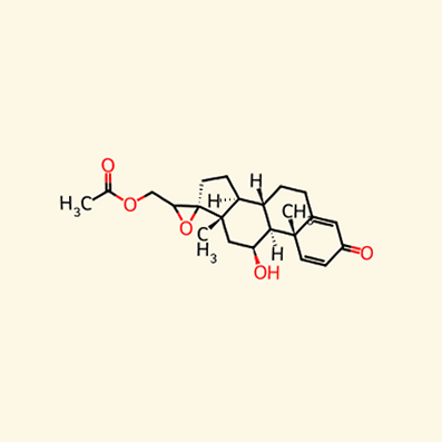 CC(=O)OCC1O[C@@]12CC[C@H]1[C@@H]3CCC4=CC(=O)C=C[C@]4(C)[C@H]3[C@@H](O)C[C@@]12C